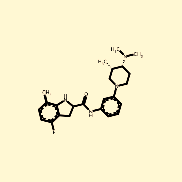 Cc1ccc(F)c2c1NC(C(=O)Nc1cccc(N3CC[C@@H](N(C)C)[C@@H](C)C3)c1)C2